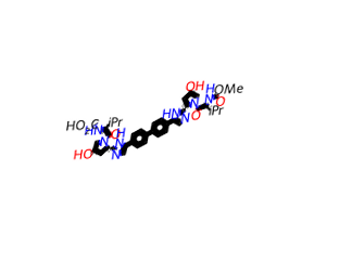 COC(=O)N[C@H](C(=O)N1C[C@H](O)C[C@H]1c1ncc(-c2ccc(-c3ccc(-c4cnc([C@@H]5C[C@@H](O)CN5C(=O)[C@@H](NC(=O)O)C(C)C)[nH]4)cc3)cc2)[nH]1)C(C)C